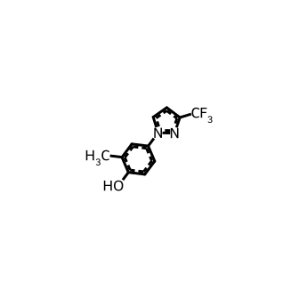 Cc1cc(-n2ccc(C(F)(F)F)n2)ccc1O